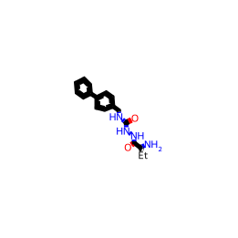 CC[C@H](N)C(=O)NNC(=O)NCc1ccc(-c2ccccc2)cc1